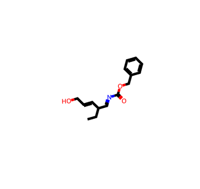 CCC(C=CCO)C=NC(=O)OCc1ccccc1